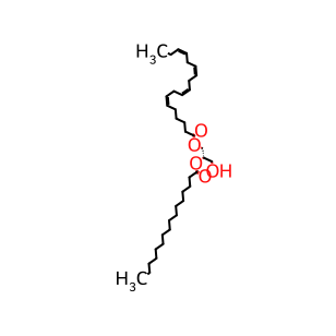 CC/C=C\C/C=C\C/C=C\C/C=C\CCCCC(=O)OC[C@H](CO)OC(=O)CCCCCCCCCCCCCCC